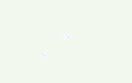 Cl.Cl.c1ccc(CNCCN2CCCC2)cc1